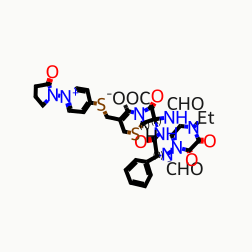 CCN1CCN(N(C=O)[C@@H](C(=O)N[C@]2(NC=O)C(=O)N3C(C(=O)[O-])=C(CSc4cc[n+](N5CCCC5=O)cc4)CS[C@@H]32)c2ccccc2)C(=O)C1=O